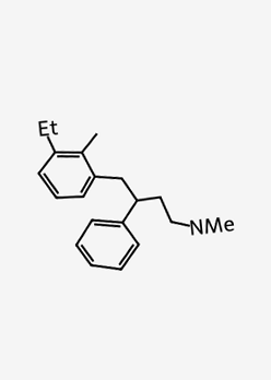 CCc1cccc(CC(CCNC)c2ccccc2)c1C